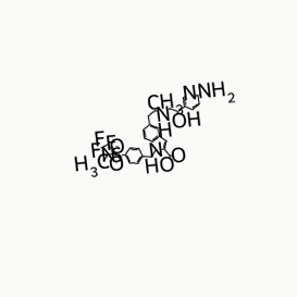 CC(Cc1ccc2c(c1)cc(C(=O)O)n2Cc1ccc(S(=O)(=O)N(C)C(F)(F)F)cc1)NCC(O)c1ccc(N)nc1